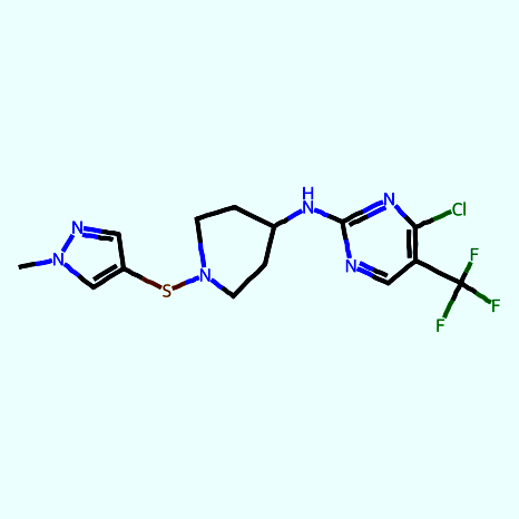 Cn1cc(SN2CCC(Nc3ncc(C(F)(F)F)c(Cl)n3)CC2)cn1